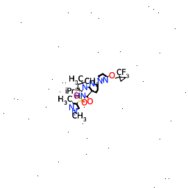 Cc1nn(C)cc1S(=O)(=O)NC(=O)c1ccc(-n2ccc(OCC3(C(F)(F)F)CC3)n2)nc1N1C[C@H](C(C)C)CC1(C)C